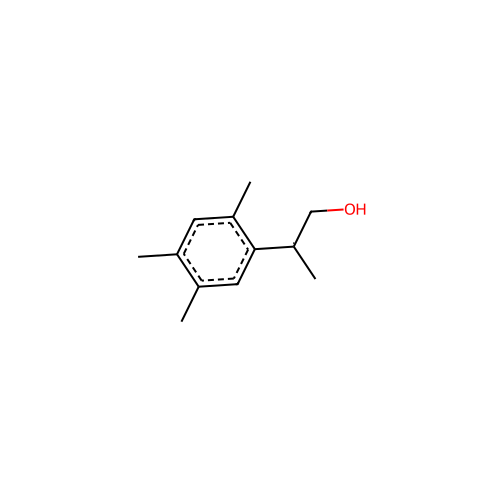 C[C](CO)c1cc(C)c(C)cc1C